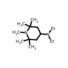 CCN(CC)C1CC(C)(C)N(C)C(C)(C)C1